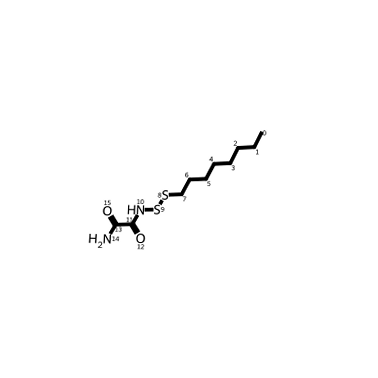 CCCCCCCCSSNC(=O)C(N)=O